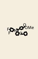 COC(=O)c1ccc(-c2cn(-c3ccc(F)c(F)c3)c3cccc(OCc4ccccc4)c23)cc1